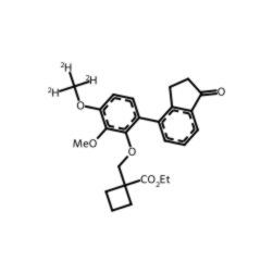 [2H]C([2H])([2H])Oc1ccc(-c2cccc3c2CCC3=O)c(OCC2(C(=O)OCC)CCC2)c1OC